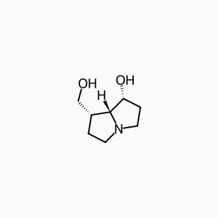 OC[C@H]1CCN2CC[C@@H](O)[C@@H]12